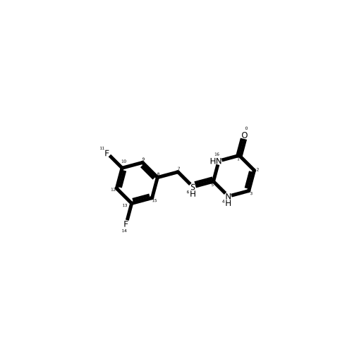 O=c1cc[nH]c(=[SH]Cc2cc(F)cc(F)c2)[nH]1